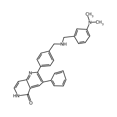 CN(C)c1cccc(CNCc2ccc(-c3nc4cc[nH]c(=O)c4cc3-c3ccccc3)cc2)c1